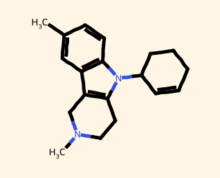 Cc1ccc2c(c1)c1c(n2C2C=CCCC2)CCN(C)C1